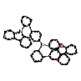 c1ccc(-c2cccc(N(c3ccc(-c4ccccc4-n4c5ccccc5c5ccccc54)cc3)c3ccccc3-c3ccc4c(c3)oc3ccccc34)c2)cc1